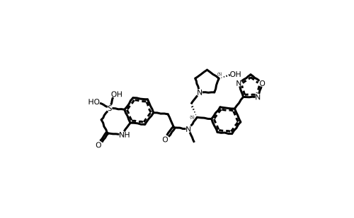 CN(C(=O)Cc1ccc2c(c1)NC(=O)CS2(O)O)[C@H](CN1CC[C@H](O)C1)c1cccc(-c2ncon2)c1